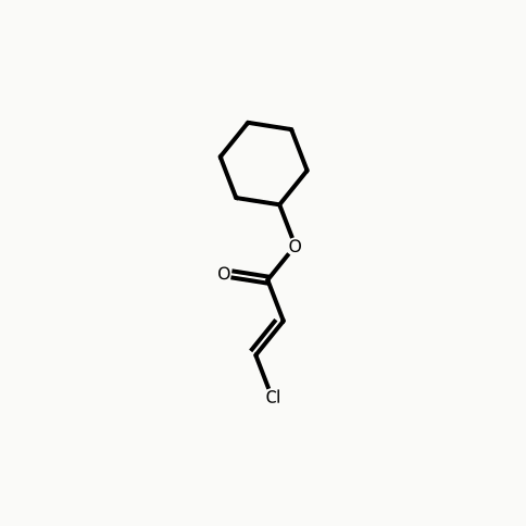 O=C(/C=C/Cl)OC1CCCCC1